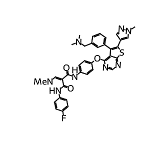 CN/C=C(\C(=O)Nc1ccc(F)cc1)C(=O)Nc1ccc(Oc2ncnc3sc(-c4cnn(C)c4)c(-c4cccc(CN(C)C)c4)c23)cc1